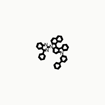 c1ccc(-c2cccc(-n3c4ccccc4c4c5c6c7ccccc7ccc6n(-c6nc(-c7ccccc7)c7ccccc7n6)c5ccc43)c2)cc1